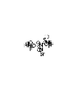 CS(=O)(=O)Nc1ccc(C(C(=O)NCc2ccc(C(F)(F)F)nc2SC2CCCCC2)c2ccc(Br)cc2)cc1F